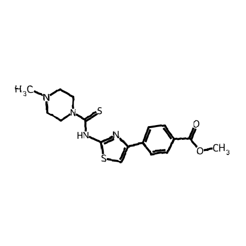 COC(=O)c1ccc(-c2csc(NC(=S)N3CCN(C)CC3)n2)cc1